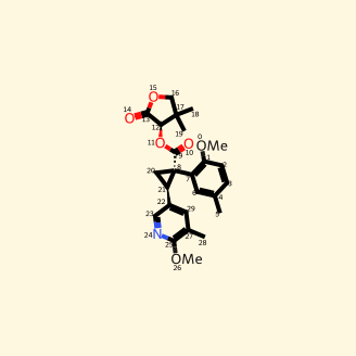 COc1ccc(C)cc1[C@]1(C(=O)O[C@H]2C(=O)OCC2(C)C)C[C@@H]1c1cnc(OC)c(C)c1